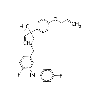 C=CCOc1ccc(C(C)(C=C)CCCc2ccc(F)c(Nc3ccc(F)cc3)c2)cc1